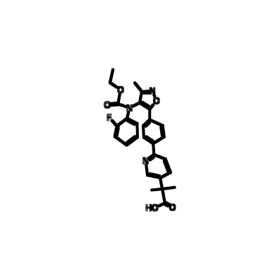 CCOC(=O)N(c1ccccc1F)c1c(C)noc1-c1ccc(-c2ccc(C(C)(C)C(=O)O)cn2)cc1